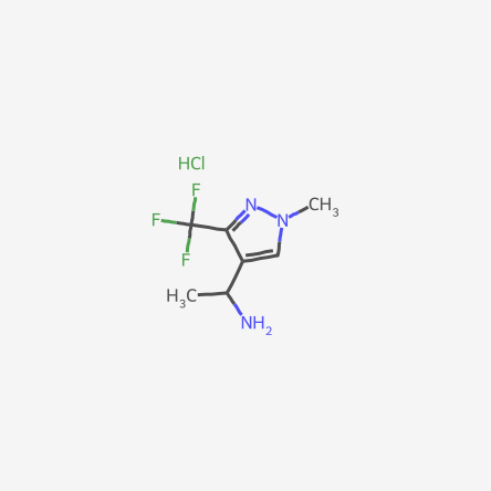 CC(N)c1cn(C)nc1C(F)(F)F.Cl